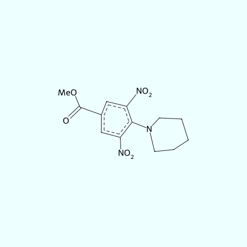 COC(=O)c1cc([N+](=O)[O-])c(N2CCCCC2)c([N+](=O)[O-])c1